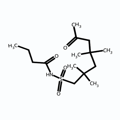 CCCC(=O)NS(=O)(=O)CC(C)(C)CC(C)(C)CC(C)=O